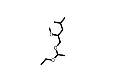 CCOC(C)OCC(CC(C)C)OC